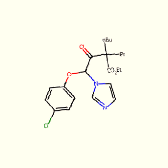 CCCCC(C(=O)OCC)(C(=O)C(Oc1ccc(Cl)cc1)n1ccnc1)C(C)C